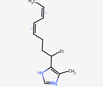 C/C=C\C=C/CCC(CC)c1[nH]cnc1C